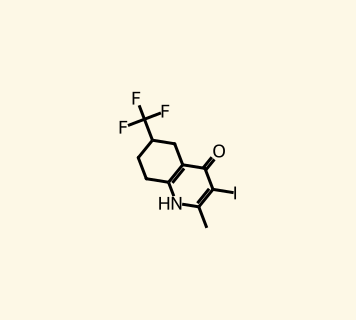 Cc1[nH]c2c(c(=O)c1I)CC(C(F)(F)F)CC2